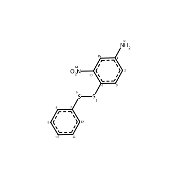 Nc1ccc(SSc2ccccc2)c([N+](=O)[O-])c1